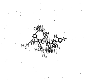 Cc1nc(-c2ccc(C(C)(C)C)cc2C#N)nc(N)c1C(=O)N[C@@H](CCNS(N)(=O)=O)C(=O)N(C)[C@@H]1C(=O)N[C@@H](C)C(=O)N[C@H](C(=O)O)Cc2ccc(OCCCN)c(c2)-c2cc1cc(OC[C@H](O)CN)c2O